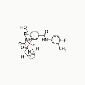 Cc1cc(NC(=O)c2ccc(F)c(C(F)(F)C(=O)N3[C@@H]4CC[C@H]3C[C@H](C(=O)NCCO)C4)c2)ccc1F